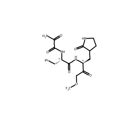 CC(C)C[C@H](NC(=O)C(N)=O)C(=O)N[C@@H](CC1CCNC1=O)C(=O)COC(F)(F)F